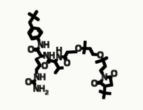 CC(C)C(NC(=O)CCOC(C)(C)CCOC(C)(C)CCN1C(=O)CC(C(C)(C)C)C1=O)C(=O)N[C@@H](CCCNC(N)=O)C(=O)Nc1ccc(CC(C)(C)C)cc1